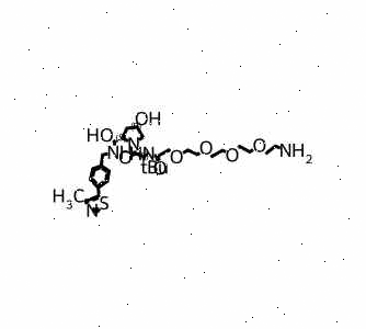 Cc1ncsc1-c1ccc(CNC(O)[C@@H]2C[C@@H](O)CN2C(=O)[C@@H](NC(=O)COCCOCCOCCOCCN)C(C)(C)C)cc1